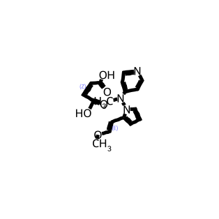 CO/C=C/c1cccn1N(C)c1ccncc1.O=C(O)/C=C\C(=O)O